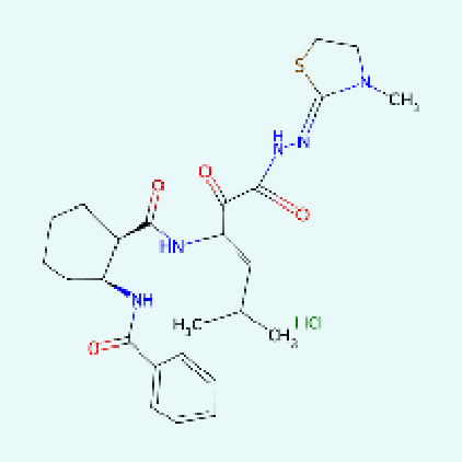 CC(C)C[C@H](NC(=O)[C@@H]1CCCC[C@@H]1NC(=O)c1ccccc1)C(=O)C(=O)NN=C1SCCN1C.Cl